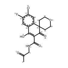 CC(=O)CNC(=O)C1=C(O)c2cc(F)c(Cl)cc2C2(CCOCC2)C1=O